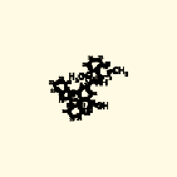 CCC[C@H](NC(=O)c1ccc(-c2c(Cl)cccc2-c2nc3ccccc3[nH]2)c(C(=O)O)c1)c1c(F)cccc1OC